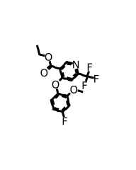 CCOC(=O)c1cnc(C(F)(F)F)cc1Oc1ccc(F)cc1OC